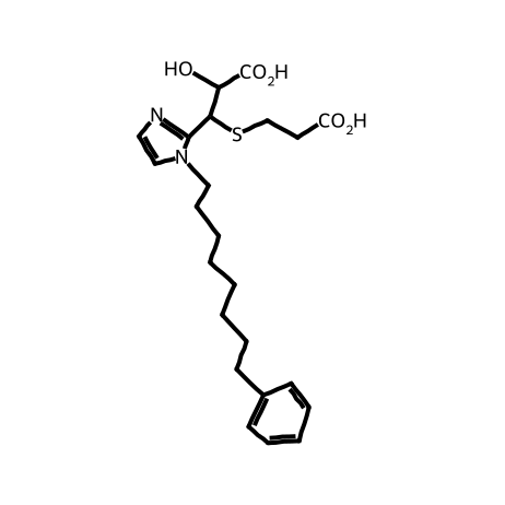 O=C(O)CCSC(c1nccn1CCCCCCCCc1ccccc1)C(O)C(=O)O